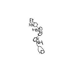 CC[C@@H]1CC[C@@H](C(=O)Nc2cc(-c3cccc(NCC4CCOCC4)n3)ccn2)CN1